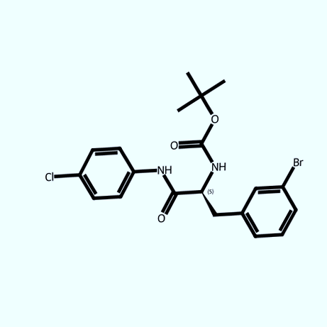 CC(C)(C)OC(=O)N[C@@H](Cc1cccc(Br)c1)C(=O)Nc1ccc(Cl)cc1